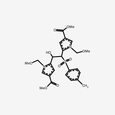 COCn1cc(C(=O)OC)cc1C(O)C(c1cc(C(=O)OC)cn1COC)S(=O)(=O)c1ccc(C)cc1